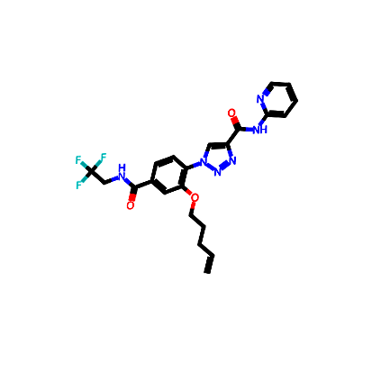 C=CCCCOc1cc(C(=O)NCC(F)(F)F)ccc1-n1cc(C(=O)Nc2ccccn2)nn1